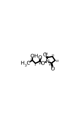 CC(O)CC(=O)ON1C(=O)CCC1=O